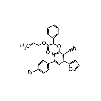 C=CCOC(=O)C(Oc1nc(-c2ccc(Br)cc2)cc(-c2ccco2)c1C#N)c1ccccc1